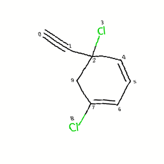 C#CC1(Cl)C=CC=C(Cl)C1